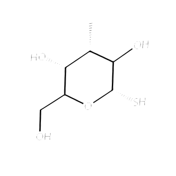 C[C@@H]1C(O)[C@H](S)OC(CO)[C@@H]1O